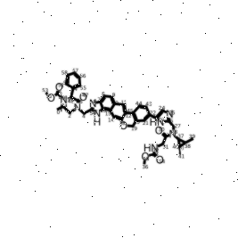 CCCN(Cc1nc2ccc3cc4c(cc3c2[nH]1)OCc1cc(-c2cnc(CN(C(=O)CNC(=O)OC)C3C(C)[C@H]3C)[nH]2)ccc1-4)C(=O)[C@H](NC(=O)OC)c1ccccc1